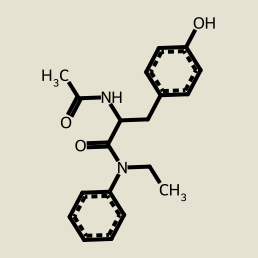 CCN(C(=O)C(Cc1ccc(O)cc1)NC(C)=O)c1ccccc1